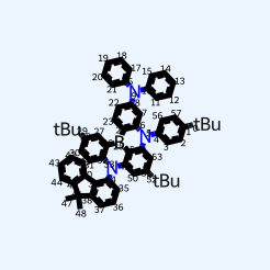 CC(C)(C)c1ccc(N2c3cc(N(c4ccccc4)c4ccccc4)ccc3B3c4cc(C(C)(C)C)ccc4N(c4cccc5c4-c4ccccc4C5(C)C)c4cc(C(C)(C)C)cc2c43)cc1